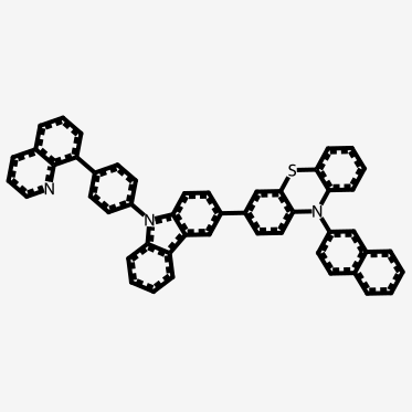 c1ccc2c(c1)Sc1cc(-c3ccc4c(c3)c3ccccc3n4-c3ccc(-c4cccc5cccnc45)cc3)ccc1N2c1ccc2ccccc2c1